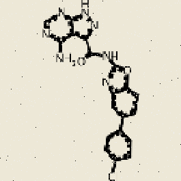 Nc1ncnc2[nH]nc(C(=O)Nc3nc4cc(-c5ccc(Cl)cc5)ccc4o3)c12